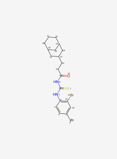 CC(C)c1ccc(NC(=S)NC(=O)CCC2CC3CCCC(C3)C2)c(Br)c1